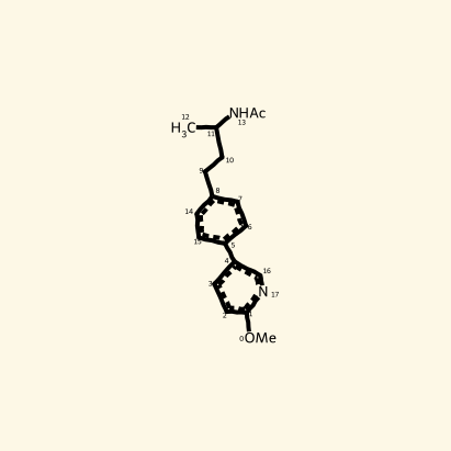 COc1ccc(-c2ccc(CCC(C)NC(C)=O)cc2)cn1